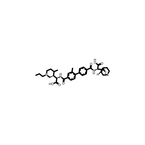 CCCN1CCC(C)[C@@H]([C@@H](NC(=O)c2ccc(-c3ccc(C(=O)N[C@@H](C(=O)O)[C@H]4CN5CCC4CC5)cc3)c(C)c2)C(=O)O)C1